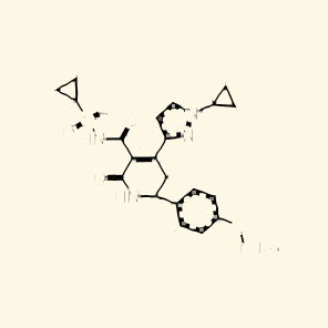 CCCCCCOc1ccc([C@]2(C)CC(c3ccn(C4CC4)n3)=C(C(=O)NS(=O)(=O)C3CC3)C(=O)N2)cc1